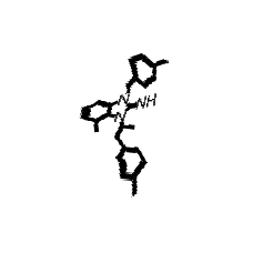 Cc1ccc(CC(C)n2c(=N)n(Cc3ccc(C)cc3)c3cccc(C)c32)cc1